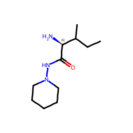 CCC(C)[C@H](N)C(=O)NN1CCCCC1